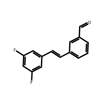 O=Cc1cccc(/C=C/c2cc(F)cc(F)c2)c1